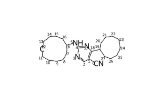 N#Cc1cnc(NC2CCCCCCCCCC2)nc1C1CCCCCCCC1